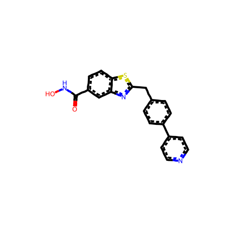 O=C(NO)c1ccc2sc(Cc3ccc(-c4ccncc4)cc3)nc2c1